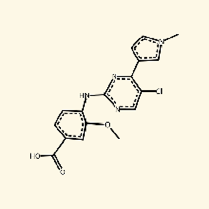 COc1cc(C(=O)O)ccc1Nc1ncc(Cl)c(-c2ccn(C)c2)n1